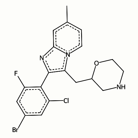 Cc1ccn2c(CC3CNCCO3)c(-c3c(F)cc(Br)cc3Cl)nc2c1